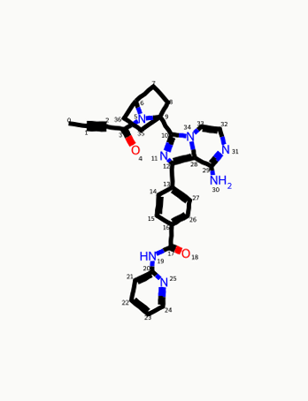 CC#CC(=O)N1C2CCC1(c1nc(-c3ccc(C(=O)Nc4ccccn4)cc3)c3c(N)nccn13)CC2